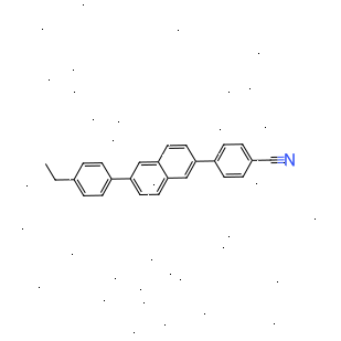 CCc1ccc(-c2ccc3cc(-c4ccc(C#N)cc4)ccc3c2)cc1